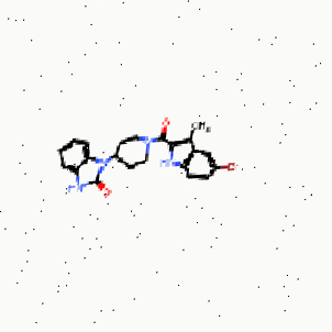 Cc1c(C(=O)N2CCC(n3c(=O)[nH]c4ccccc43)CC2)[nH]c2ccc(Br)cc12